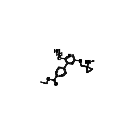 CCOC(=O)c1ccc(-c2cc(OCC3(NC)CC3)cnc2Cl)cc1.Cl.Cl